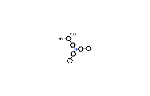 CC(C)(C)c1cc(-c2ccc(N(c3ccc(C4=CCCCC4)cc3)c3ccc(-c4ccccc4)cc3)cc2)cc(C(C)(C)C)c1